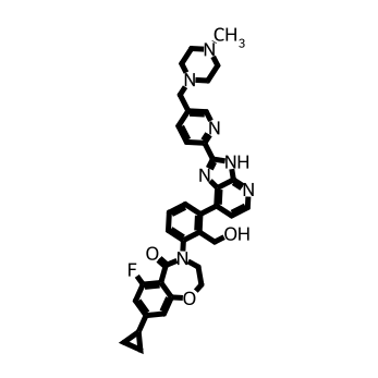 CN1CCN(Cc2ccc(-c3nc4c(-c5cccc(N6CCOc7cc(C8CC8)cc(F)c7C6=O)c5CO)ccnc4[nH]3)nc2)CC1